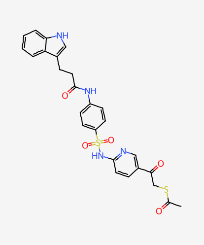 CC(=O)SCC(=O)c1ccc(NS(=O)(=O)c2ccc(NC(=O)CCc3c[nH]c4ccccc34)cc2)nc1